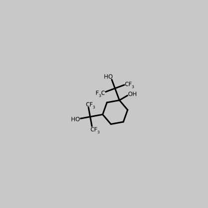 OC1(C(O)(C(F)(F)F)C(F)(F)F)CCCC(C(O)(C(F)(F)F)C(F)(F)F)C1